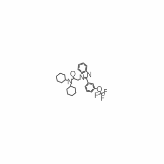 O=C(Cn1c(-c2cccc(OC(F)(F)F)c2)nc2ccccc21)N(C1CCCCC1)C1CCCCC1